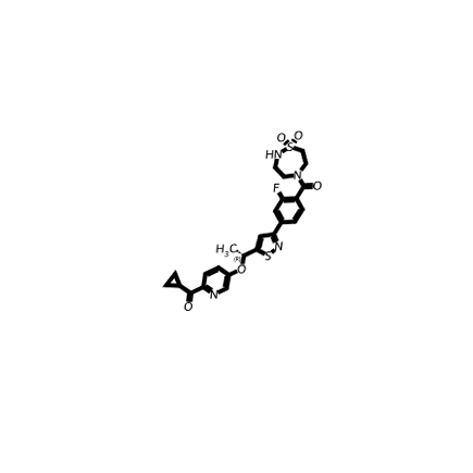 C[C@@H](Oc1ccc(C(=O)C2CC2)nc1)c1cc(-c2ccc(C(=O)N3CCNS(=O)(=O)CC3)c(F)c2)ns1